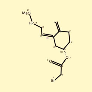 C=C1CC[C@H](OC(=O)CBr)C/C1=C/CPOC